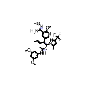 CC=C/C(=C(\N=C(/C)Nc1cc(OC)cc(OC)c1)n1nc(C(F)(F)F)cc1C)c1cnc(OC)c(/C(N)=N/O)c1